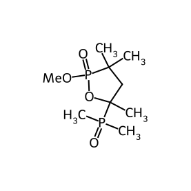 COP1(=O)OC(C)(P(C)(C)=O)CC1(C)C